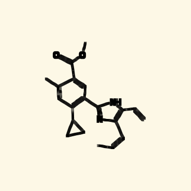 C=Cc1[nH]c(-c2cc(C(=O)OC)c(C)cc2C2CC2)nc1/C=C\C